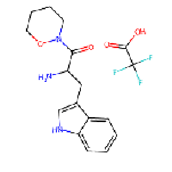 NC(Cc1c[nH]c2ccccc12)C(=O)N1CCCCO1.O=C(O)C(F)(F)F